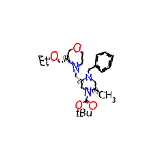 CCOC[C@@H]1COCCN1C[C@H]1CN(C(=O)OC(C)(C)C)[C@H](C)CN1Cc1ccccc1